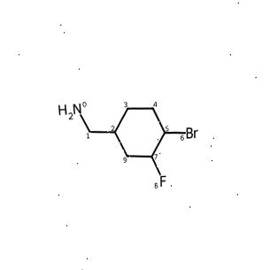 NCC1CCC(Br)C(F)C1